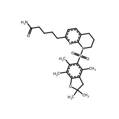 Cc1c(C)c(S(=O)(=O)N2CCCc3ccc(CCCCC(N)=O)nc32)c(C)c2c1OC(C)(C)C2